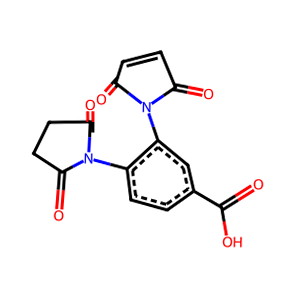 O=C(O)c1ccc(N2C(=O)CCC2=O)c(N2C(=O)C=CC2=O)c1